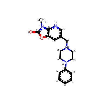 Cn1c(=O)oc2cc(CN3CCN(c4ccccc4)CC3)cnc21